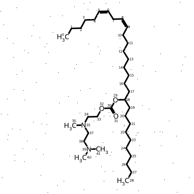 CCCCC/C=C\C/C=C\CCCCCCCCC(CCCCCCCCCC)OC(=O)OCCN(C)CCN(C)C